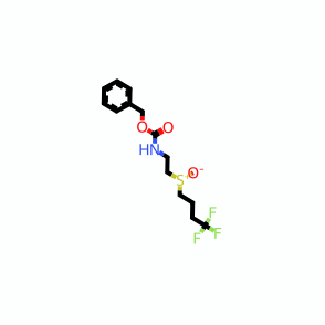 O=C(NCC[S+]([O-])CCCC(F)(F)F)OCc1ccccc1